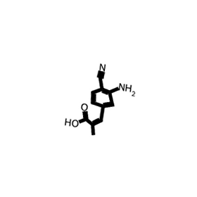 CC(=Cc1ccc(C#N)c(N)c1)C(=O)O